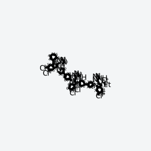 CCN(CC)c1c(-c2nnn[nH]2)n(-c2ccc(C3CCN(c4c(-c5nnn[nH]5)n(-c5ccc(C6CCN(c7c(-c8nnn[nH]8)n(-c8ccccc8)c8cc(Cl)c(Cl)cc78)CC6)cc5)c5ccc(Cl)c(Cl)c45)CC3)cc2)c2cc(Cl)c(F)cc12